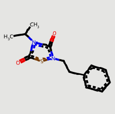 CC(C)n1c(=O)sn(CCc2ccccc2)c1=O